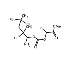 COC(=O)C(F)OC(=O)OC(N)C(C)(C)CC(C)(C)C(C)(C)C